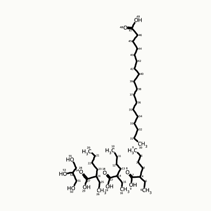 CCCCC(CC)C(=O)O.CCCCC(CC)C(=O)O.CCCCC(CC)C(=O)O.CCCCCCCCCCCCCCCCCC(=O)O.OCC(O)CO